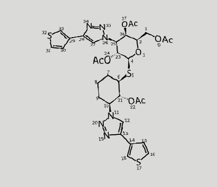 CC(=O)OC[C@H]1O[C@@H](S[C@@H]2CCC[C@H](n3cc(-c4ccsc4)nn3)[C@H]2OC(C)=O)[C@H](OC(C)=O)[C@@H](n2cc(-c3ccsc3)nn2)[C@H]1OC(C)=O